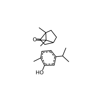 CC12CCC(CC1=O)C2(C)C.Cc1ccc(C(C)C)cc1O